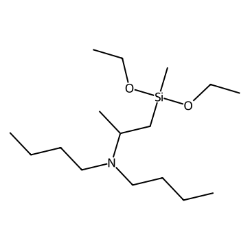 CCCCN(CCCC)C(C)C[Si](C)(OCC)OCC